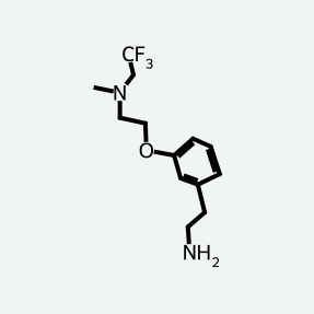 CN(CCOc1cccc(CCN)c1)CC(F)(F)F